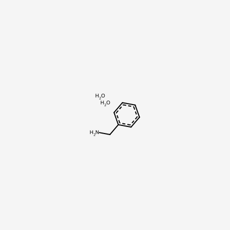 NCc1ccccc1.O.O